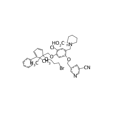 CC1(C)C(c2ccccc2)=CC=CC1(COc1cc(OCc2cncc(C#N)c2)c(CN2CCCC[C@H]2C(=O)O)cc1Cl)OCCCBr